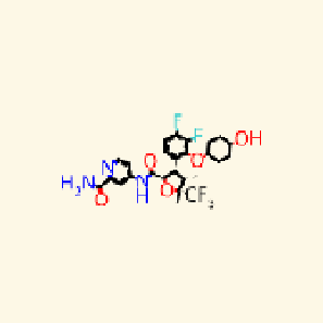 C[C@H]1[C@@H](c2ccc(F)c(F)c2O[C@H]2CC[C@H](O)CC2)[C@H](C(=O)Nc2ccnc(C(N)=O)c2)O[C@@]1(C)C(F)(F)F